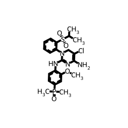 COc1cc(P(C)(C)=O)ccc1NC1=NC(N)=C(Cl)CN1c1ccccc1S(=O)(=O)C(C)C